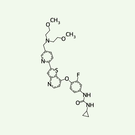 COCCN(CCOC)Cc1ccc(-c2cc3nccc(Oc4ccc(NC(=O)NC5CC5)cc4F)c3s2)nc1